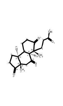 C[C@]1(CCC(=O)O)C(=O)CCC2[C@@H]1C(=O)C[C@]1(C)C(=O)CC[C@@H]21